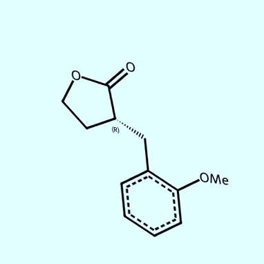 COc1ccccc1C[C@@H]1CCOC1=O